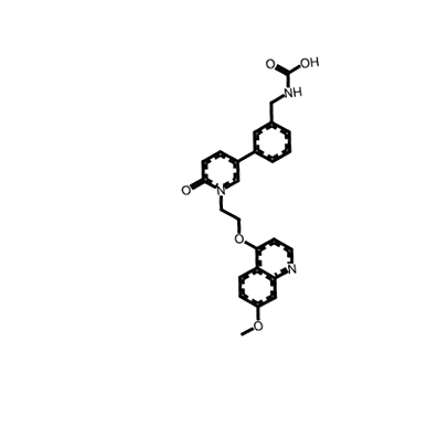 COc1ccc2c(OCCn3cc(-c4cccc(CNC(=O)O)c4)ccc3=O)ccnc2c1